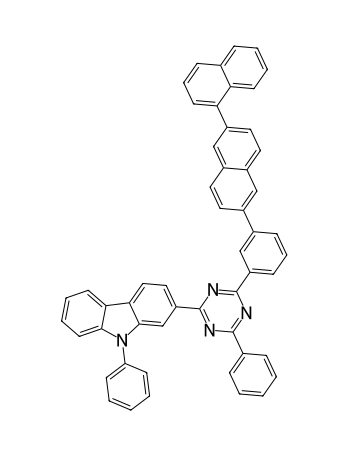 c1ccc(-c2nc(-c3cccc(-c4ccc5cc(-c6cccc7ccccc67)ccc5c4)c3)nc(-c3ccc4c5ccccc5n(-c5ccccc5)c4c3)n2)cc1